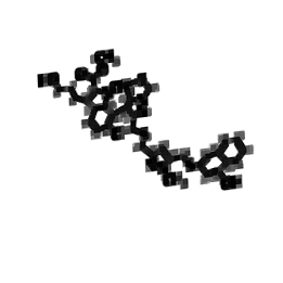 COC(=O)c1c(CCCO)c2ccc(Cl)c(-c3c(CSCc4cc(CSc5cc(O)c6ccccc6c5)n(C)n4)nn4c3CSC4)c2n1C